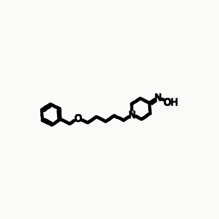 ON=C1CCN(CCCCCOCc2ccccc2)CC1